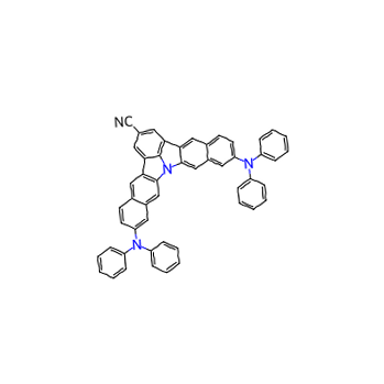 N#Cc1cc2c3cc4ccc(N(c5ccccc5)c5ccccc5)cc4cc3n3c4cc5cc(N(c6ccccc6)c6ccccc6)ccc5cc4c(c1)c23